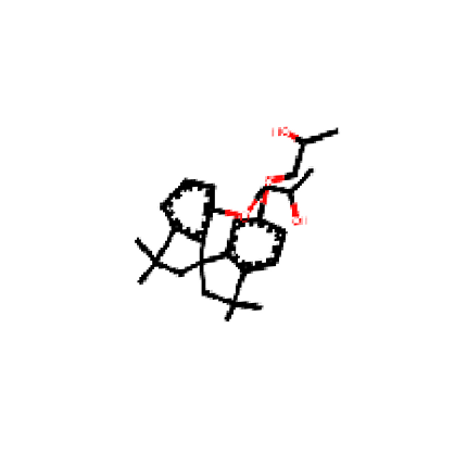 CC(O)COc1ccc2c(c1)C1(CC2(C)C)CC(C)(C)c2cccc(OCC(C)O)c21